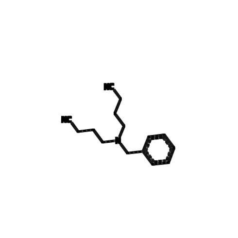 N#CCCCN(CCCC#N)Cc1ccccc1